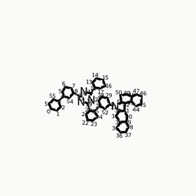 c1ccc(-c2cccc(-c3nc(-c4ccccc4)nc(-c4ccccc4-c4cccc(-n5c6cc7ccccc7cc6c6c7ccccc7ccc65)c4)n3)c2)cc1